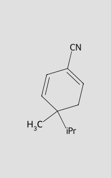 CC(C)C1(C)C=CC(C#N)=CC1